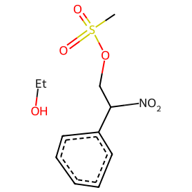 CCO.CS(=O)(=O)OCC(c1ccccc1)[N+](=O)[O-]